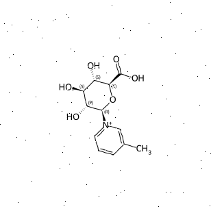 Cc1ccc[n+]([C@@H]2O[C@H](C(=O)O)[C@@H](O)[C@H](O)[C@H]2O)c1